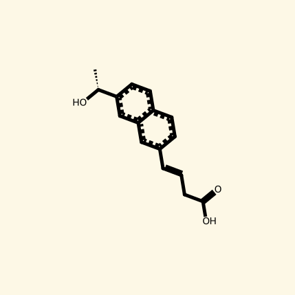 C[C@@H](O)c1ccc2ccc(/C=C/CC(=O)O)cc2c1